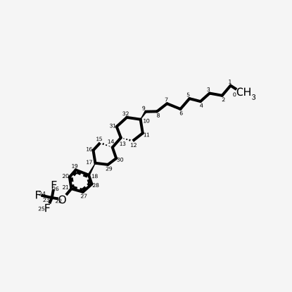 CCCCCCCCCC[C@H]1CC[C@H]([C@H]2CC[C@H](c3ccc(OC(F)(F)F)cc3)CC2)CC1